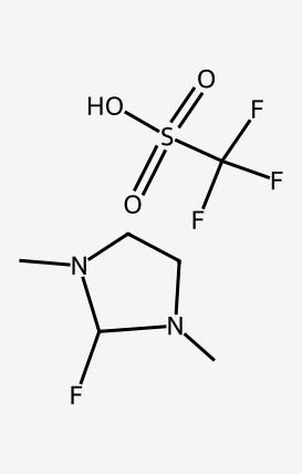 CN1CCN(C)C1F.O=S(=O)(O)C(F)(F)F